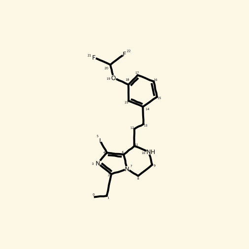 CCc1nc(I)c2n1CCNC2CCc1cccc(OC(F)F)c1